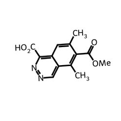 COC(=O)c1c(C)cc2c(C(=O)O)nncc2c1C